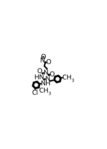 Cc1ccc(CN2C(=O)N(CCC(=O)N=O)C(=O)NC2Nc2cccc(Cl)c2C)cc1